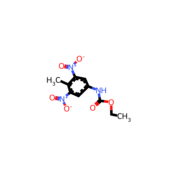 CCOC(=O)Nc1cc([N+](=O)[O-])c(C)c([N+](=O)[O-])c1